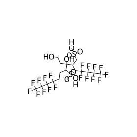 O=S(=O)(O)CC(CC(F)(F)C(F)(F)C(F)(F)C(F)(F)F)C(O)(CCO)C(CCC(F)(F)C(F)(F)C(F)(F)C(F)(F)F)S(=O)(=O)O